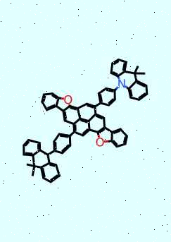 CC1(C)c2ccccc2C(c2ccc(-c3cc4c5oc6ccccc6c5cc5c(-c6ccc(N7c8ccccc8C(C)(C)c8ccccc87)cc6)cc6c7oc8ccccc8c7cc3c6c54)cc2)c2ccccc21